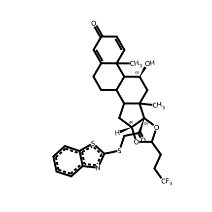 CC12C=CC(=O)C=C1CCC1C2[C@@H](O)CC2(C)C1C[C@H]1OC(CCC(F)(F)F)O[C@]12C(=O)CSc1nc2ccccc2s1